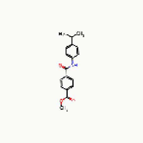 COC(=O)c1ccc(C(=O)Nc2ccc(C(C)C)cc2)cc1